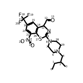 CCC(C)CN1CCN(C2=NC(C=O)c3cc(C(F)(F)F)cc([N+](=O)[O-])c3S2)CC1